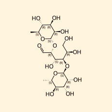 C[C@@H]1O[C@@H](O[C@@H]([C@H](O)[C@H](C=O)O[C@@H]2O[C@@H](C)[C@H](O)[C@@H](O)[C@H]2O)[C@H](O)CO)[C@H](O)[C@H](O)[C@H]1O